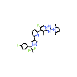 Cc1c(-c2cccc(-c3cnn([C@H](c4ccc(F)cc4)C(C)(F)F)c3)n2)c(F)cn2nc(-n3c(C)ccc3C)nc12